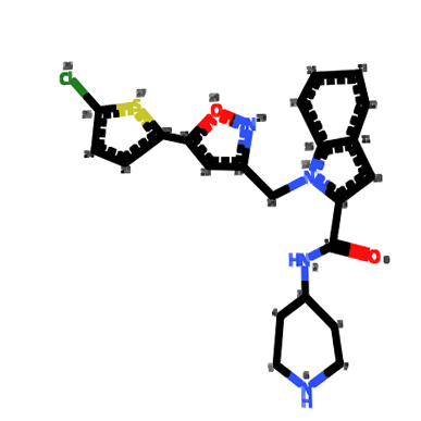 O=C(NC1CCNCC1)c1cc2ccccc2n1Cc1cc(-c2ccc(Cl)s2)on1